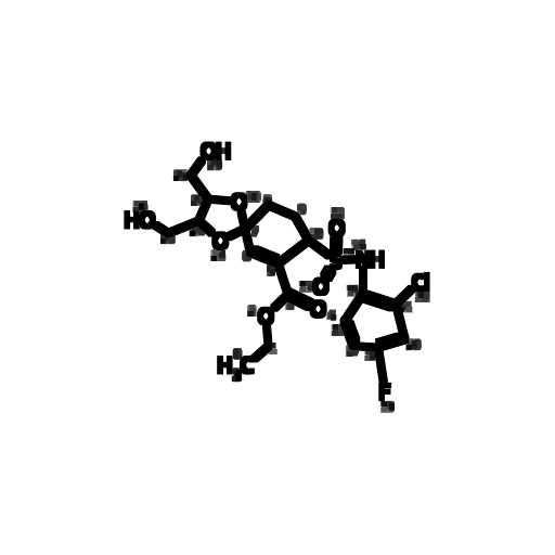 CCOC(=O)C1=CC2(CCC1S(=O)(=O)Nc1ccc(F)cc1Cl)OC(CO)C(CO)O2